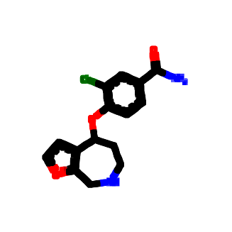 NC(=O)c1ccc(OC2CCNCc3occc32)c(Cl)c1